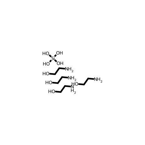 NCCO.NCCO.NCCO.NCCO.O[Si](O)(O)O